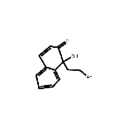 CC(=O)CCC1(O)C(=O)C=Cc2ccccc21